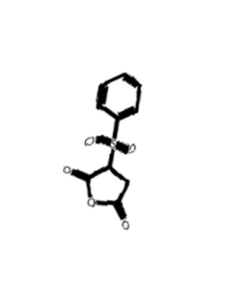 O=C1CC(S(=O)(=O)c2ccccc2)C(=O)O1